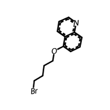 BrCCCCOc1cccc2ncccc12